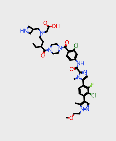 CCC(CCN(CC(=O)O)CC1CNC1)C(=O)N1CCN(C(=O)c2ccc(NC(=O)c3ncc(-c4ccc(-c5cnn(CCOC)c5C)c(Cl)c4F)n3C)cc2Cl)CC1